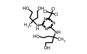 CC(CCO)(CCO)Nc1nc(NC(C)(CCO)CCO)nc(C(Cl)(Cl)Cl)n1